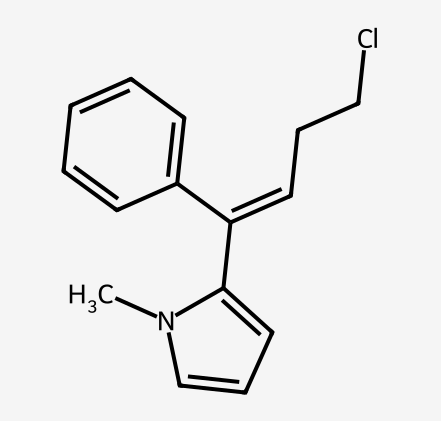 Cn1cccc1/C(=C/CCCl)c1ccccc1